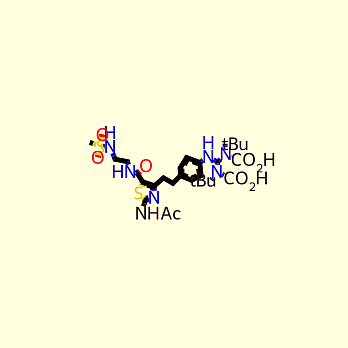 CC(=O)Nc1nc(CCc2ccc(NC(N(C(=O)O)C(C)(C)C)N(C(=O)O)C(C)(C)C)cc2)c(C(=O)NCCNS(C)(=O)=O)s1